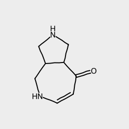 O=C1C=CNCC2CNCC12